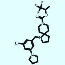 CC(OC(=O)N1CCC2(CCCN2Cc2cc(Cl)cc(N3CCCC3)c2)CC1)C(F)(F)F